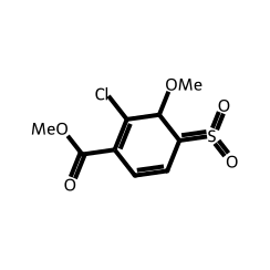 COC(=O)C1=C(Cl)C(OC)C(=S(=O)=O)C=C1